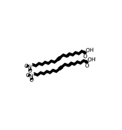 O=C(O)CCCCC=CCC#CCCCCCCCC[N+](=O)[O-].O=C(O)CCCCC=CCC#CCCCCCCCC[N+](=O)[O-]